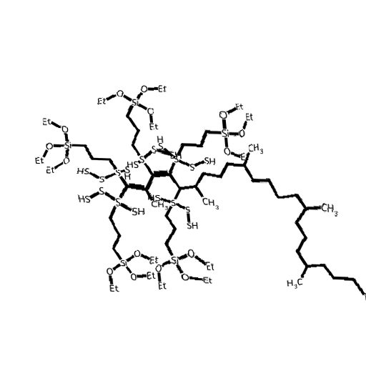 CCO[Si](CCCS(S)(SS)C(C(C)=C(S(S)(CCC[Si](OCC)(OCC)OCC)SS)S(S)(CCC[Si](OCC)(OCC)OCC)SS)=C(C(C(C)CCCC(C)CCCCC(C)CCCC(C)CCCC(C)C)S(S)(CCC[Si](OCC)(OCC)OCC)SS)S(S)(CCC[Si](OCC)(OCC)OCC)SS)(OCC)OCC